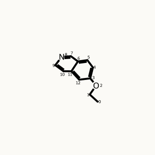 CCOc1ccc2cnccc2c1